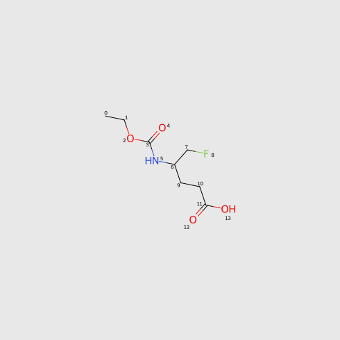 CCOC(=O)NC(CF)CCC(=O)O